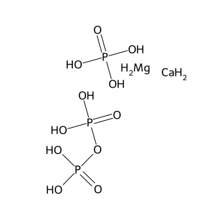 O=P(O)(O)O.O=P(O)(O)OP(=O)(O)O.[CaH2].[MgH2]